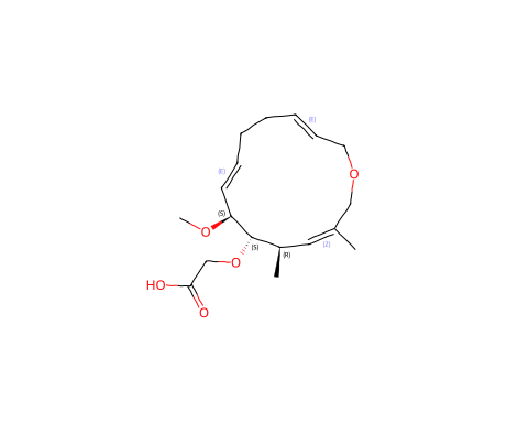 CO[C@H]1/C=C/CC/C=C/COC/C(C)=C\[C@@H](C)[C@@H]1OCC(=O)O